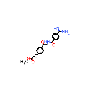 COC(=O)CCc1ccc(C(=O)CNC(=O)c2ccc(C(=N)N)cc2)cc1